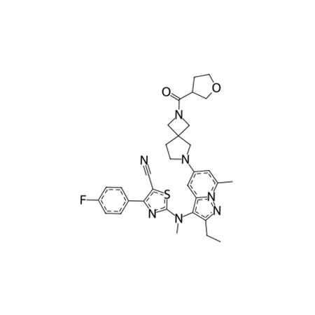 CCc1nn2c(C)cc(N3CCC4(CN(C(=O)C5CCOC5)C4)C3)cc2c1N(C)c1nc(-c2ccc(F)cc2)c(C#N)s1